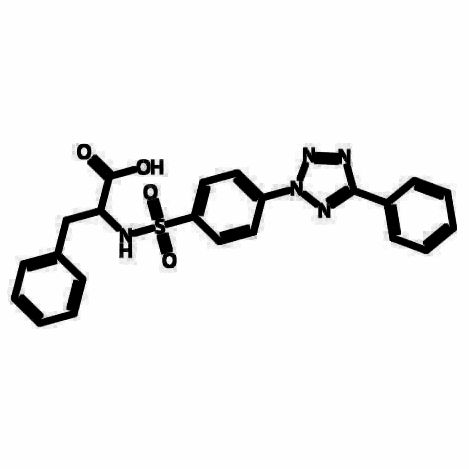 O=C(O)C(Cc1ccccc1)NS(=O)(=O)c1ccc(-n2nnc(-c3ccccc3)n2)cc1